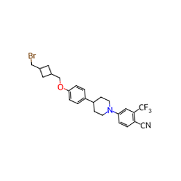 N#Cc1ccc(N2CCC(c3ccc(OCC4CC(CBr)C4)cc3)CC2)cc1C(F)(F)F